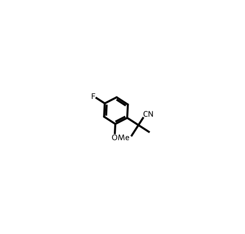 COc1cc(F)ccc1C(C)(C)C#N